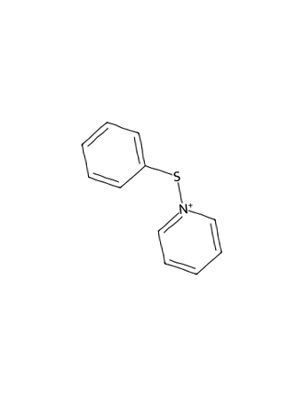 c1ccc(S[n+]2ccccc2)cc1